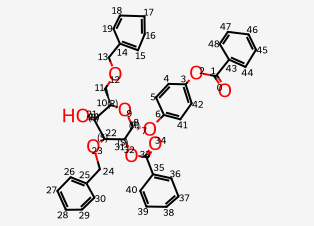 O=C(Oc1ccc(O[C@H]2O[C@H](COCc3ccccc3)[C@@H](O)[C@H](OCc3ccccc3)[C@@H]2OC(=O)c2ccccc2)cc1)c1ccccc1